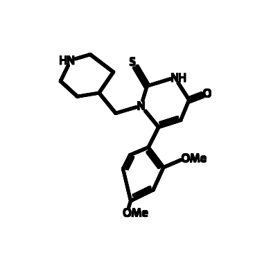 COc1ccc(-c2cc(=O)[nH]c(=S)n2CC2CCNCC2)c(OC)c1